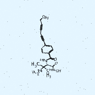 CC(C)(N)[C@H](NC(=O)c1ccc(C#CC#CCO)cc1)C(=O)NO